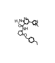 CCc1ccc(CO[C@H]2CCC[C@@H]2NC(=O)c2cc(-c3cnn(C)c3)cnc2N)cc1